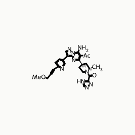 COCC#Cc1ccc(-c2cnn3c(N)c(C(C)=O)c([C@@H]4CCN(C(=O)c5nnc[nH]5)[C@@H](C)C4)nc23)cn1